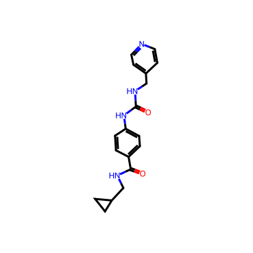 O=C(NCc1ccncc1)Nc1ccc(C(=O)NCC2CC2)cc1